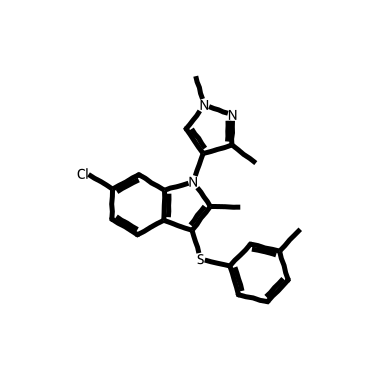 Cc1cccc(Sc2c(C)n(-c3cn(C)nc3C)c3cc(Cl)ccc23)c1